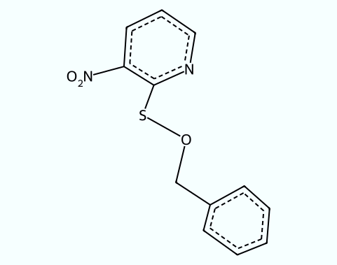 O=[N+]([O-])c1cccnc1SOCc1ccccc1